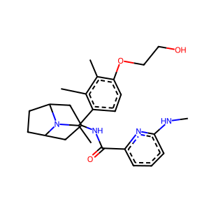 CNc1cccc(C(=O)NC2CC3CCC(C2)N3C(C)c2ccc(OCCO)c(C)c2C)n1